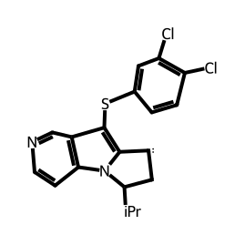 CC(C)C1C[C]c2c(Sc3ccc(Cl)c(Cl)c3)c3cnccc3n21